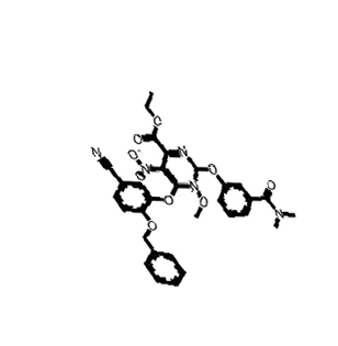 CCOC(=O)C1=NC(Oc2cccc(C(=O)N(C)C)c2)N(OC)C(Oc2cc(C#N)ccc2OCc2ccccc2)=C1[N+](=O)[O-]